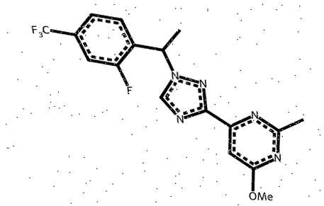 COc1cc(-c2ncn(C(C)c3ccc(C(F)(F)F)cc3F)n2)nc(C)n1